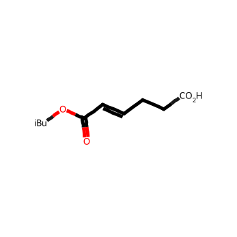 CCC(C)OC(=O)C=CCCC(=O)O